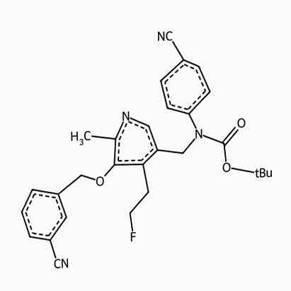 Cc1ncc(CN(C(=O)OC(C)(C)C)c2ccc(C#N)cc2)c(CCF)c1OCc1cccc(C#N)c1